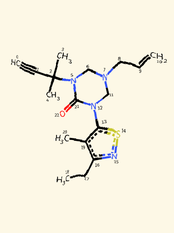 C#CC(C)(C)N1CN(CC=C)CN(c2snc(CC)c2C)C1=O